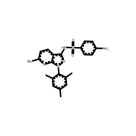 Cc1cc(C)c(-n2nc(NS(=O)(=O)c3ccc(N)cc3)c3ccc(C(C)(C)C)nc32)c(C)c1